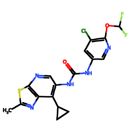 Cc1nc2c(C3CC3)c(NC(=O)Nc3cnc(OC(F)F)c(Cl)c3)cnc2s1